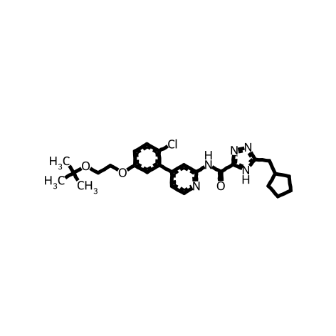 CC(C)(C)OCCOc1ccc(Cl)c(-c2ccnc(NC(=O)c3nnc(CC4CCCC4)[nH]3)c2)c1